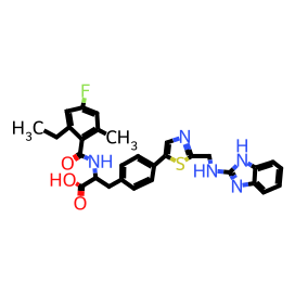 CCc1cc(F)cc(C)c1C(=O)NC(Cc1ccc(-c2cnc(CNc3nc4ccccc4[nH]3)s2)cc1)C(=O)O